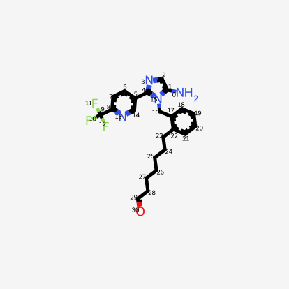 Nc1cnc(-c2ccc(C(F)(F)F)nc2)n1Cc1ccccc1CCCCCCC=O